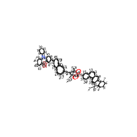 CC1(C)c2ccccc2-c2cc3ccc4cc(B5OC6(C)C(c7ccc8cc(-c9ccc(N(c%10ccccc%10)c%10ccccc%10Br)cc9)ccc8c7)C6(C)O5)ccc4c3cc21